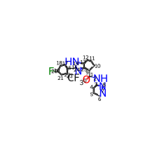 O=C(Nc1cccnn1)c1cccc2[nH]c(-c3ccc(F)cc3C(F)(F)F)nc12